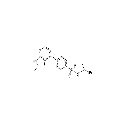 CC1Cc2c(-c3ccc(S(=O)(=O)NC(C)C(C)C)cc3)ccnc2N1